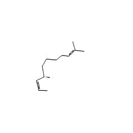 C/C=C\[C@H](O)C[C@H](C)CCC=C(C)C